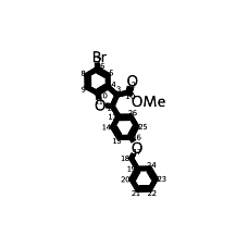 COC(=O)C1c2cc(Br)ccc2OC1c1ccc(OCc2ccccc2)cc1